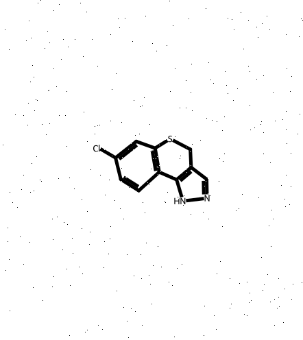 Clc1ccc2c(c1)SCc1cn[nH]c1-2